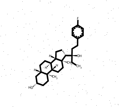 CC[C@@](O)(CCc1ccc(F)cc1)[C@H]1CC[C@H]2[C@@H]3CC[C@H]4C[C@@H](O)CC[C@]4(C)[C@H]3CC[C@]12C